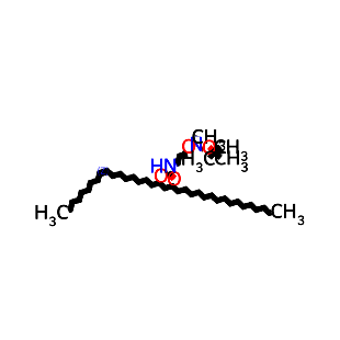 CCCCCCCC/C=C\CCCCCCCC(CCCCCCCCCCCCCCCCCC)OC(=O)NCCCON(C)COC(C)(C)C